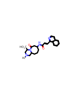 CC(=O)N1CC2CCCC(NC(=O)C=Cc3nccc4ccccc34)CC(=O)N2C(C(=O)O)C1